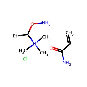 C=CC(N)=O.CCC(ON)[N+](C)(C)C.[Cl-]